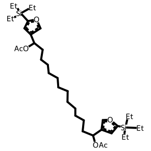 CC[Si](CC)(CC)c1cc(C(CCCCCCCCCCCCC(OC(C)=O)c2coc([Si](CC)(CC)CC)c2)OC(C)=O)co1